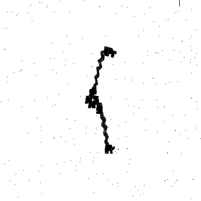 CC(C)CCCCCCCCCSSc1nnc(SSCCCCCCCCCC(C)C)s1